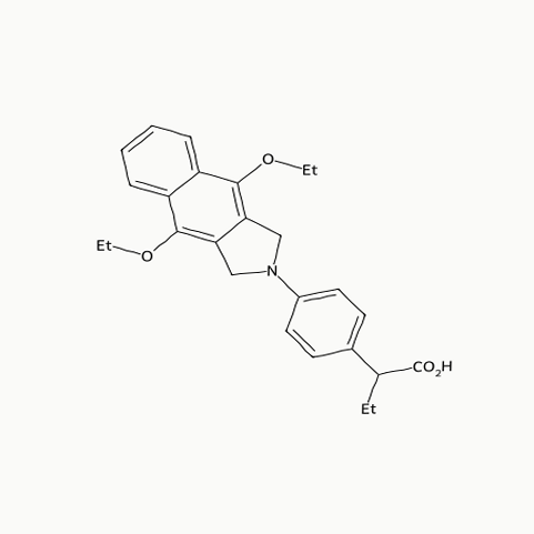 CCOc1c2c(c(OCC)c3ccccc13)CN(c1ccc(C(CC)C(=O)O)cc1)C2